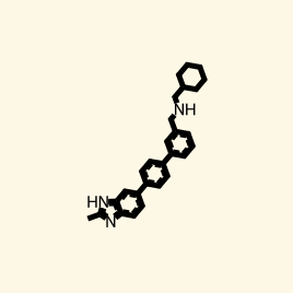 Cc1nc2ccc(-c3ccc(-c4cccc(CNCC5CCCCC5)c4)cc3)cc2[nH]1